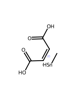 O=C(O)/C=C\C(=O)O.[CH3][SnH]